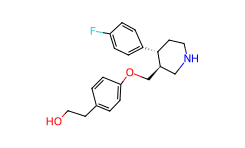 OCCc1ccc(OC[C@@H]2CNCC[C@H]2c2ccc(F)cc2)cc1